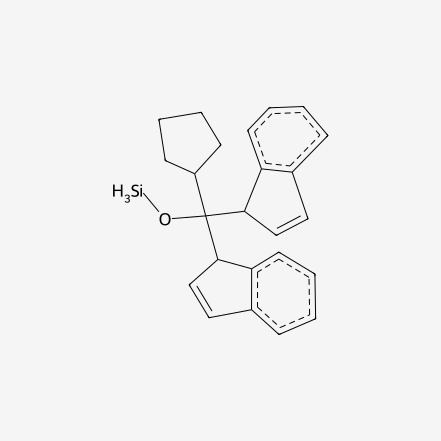 [SiH3]OC(C1CCCC1)(C1C=Cc2ccccc21)C1C=Cc2ccccc21